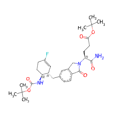 CC(C)(C)OC(=O)CC[C@@H](C(N)=O)N1Cc2cc(C[C@H]3C=C(F)CC[C@@H]3NC(=O)OC(C)(C)C)ccc2C1=O